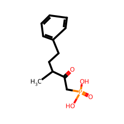 CC(CCc1ccccc1)C(=O)CP(=O)(O)O